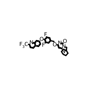 O=c1nc(OCc2cc(F)c(Oc3ccc4ccc(C(F)(F)F)nc4c3)c(F)c2)cc2n1CC13CCC(CC1)N23